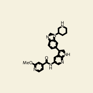 COc1cc(C(=O)Nc2cnc3[nH]cc(-c4ccc5ncn(C6CCCNC6)c5c4)c3c2)ccn1